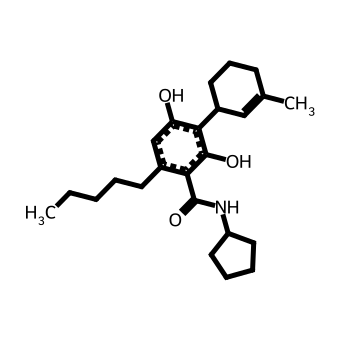 CCCCCc1cc(O)c(C2C=C(C)CCC2)c(O)c1C(=O)NC1CCCC1